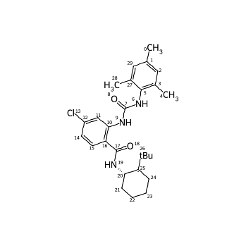 Cc1cc(C)c(NC(=O)Nc2cc(Cl)ccc2C(=O)N[C@H]2CCCC[C]2C(C)(C)C)c(C)c1